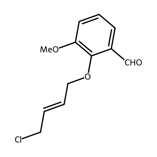 COc1cccc(C=O)c1OCC=CCCl